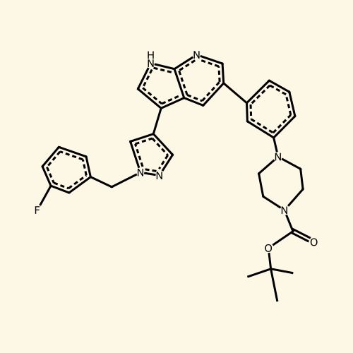 CC(C)(C)OC(=O)N1CCN(c2cccc(-c3cnc4[nH]cc(-c5cnn(Cc6cccc(F)c6)c5)c4c3)c2)CC1